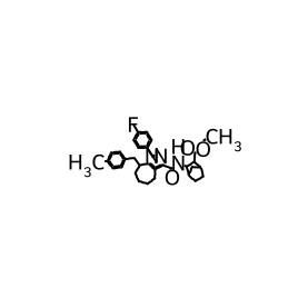 CCOC(=O)C1C2CCC(C2)C1NC(=O)c1nn(-c2ccc(F)cc2)c2c1CCCCC2Cc1ccc(C)cc1